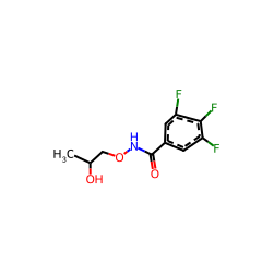 CC(O)CONC(=O)c1cc(F)c(F)c(F)c1